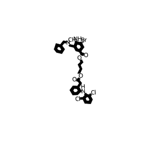 CN(Cc1ccccc1)Cc1cc(C(=O)OCCCCOC(=O)Cc2ccccc2Nc2c(Cl)cccc2Cl)cc(Br)c1N